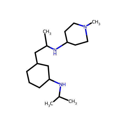 CC(C)NC1CCCC(CC(C)NC2CCN(C)CC2)C1